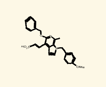 COc1ccc(Cn2ccc3c(CCS(=O)(=O)O)c(OCc4ccccc4)nc(C)c32)cc1